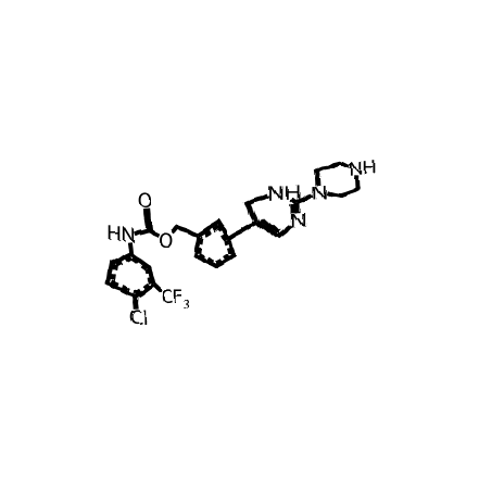 O=C(Nc1ccc(Cl)c(C(F)(F)F)c1)OCc1cccc(C2=CN=C(N3CCNCC3)NC2)c1